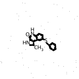 CC1CNc2c1c1cc(SCc3ccccc3)ccc1[nH]c2=O